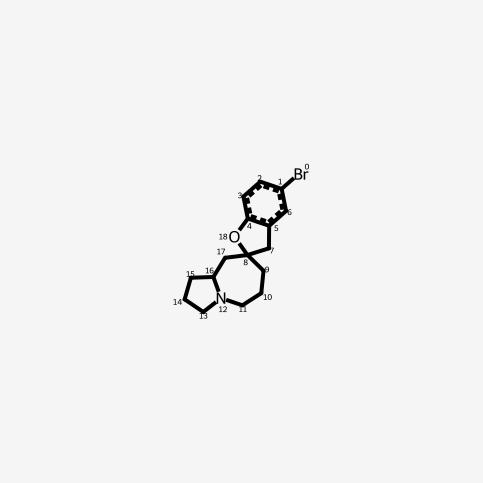 Brc1ccc2c(c1)CC1(CCCN3CCCC3C1)O2